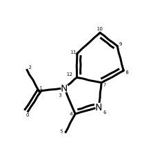 C=C(C)n1c(C)nc2ccccc21